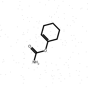 NC(=O)OC1=CCCCC1